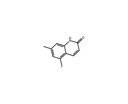 Cc1cc(F)c2ccc(=O)[nH]c2c1